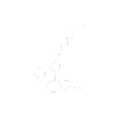 CCCC[S+]([O-])CCCCCOc1ccc(C2=C(c3ccccc3)CCCc3cc(O)ccc32)cc1